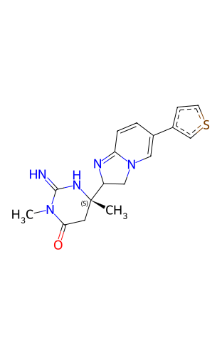 CN1C(=N)N[C@](C)(C2CN3C=C(c4ccsc4)C=CC3=N2)CC1=O